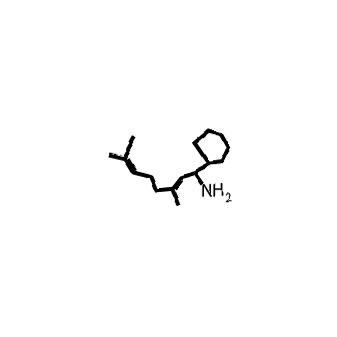 CC(C)=CCC/C(C)=C/C(N)C1CCCCC1